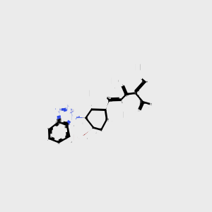 C=C(C)/C(=C/C)C(=C)/C=C(\C)[C@H]1CC[C@@H](Br)[C@@H](n2nnc3ccccc32)C1